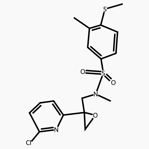 CSc1ccc(S(=O)(=O)N(C)CC2(c3cccc(Cl)n3)CO2)cc1C